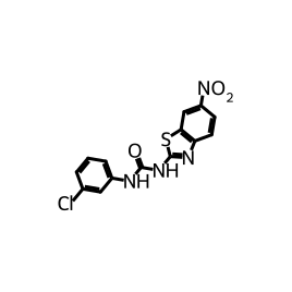 O=C(Nc1cccc(Cl)c1)Nc1nc2ccc([N+](=O)[O-])cc2s1